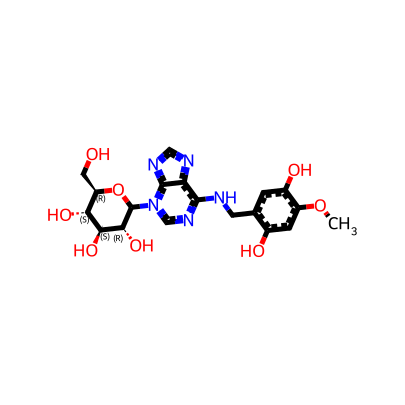 COc1cc(O)c(CNc2ncn(C3O[C@H](CO)[C@@H](O)[C@H](O)[C@H]3O)c3ncnc2-3)cc1O